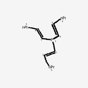 CCCC=CP(C=CCCC)C=CCCC